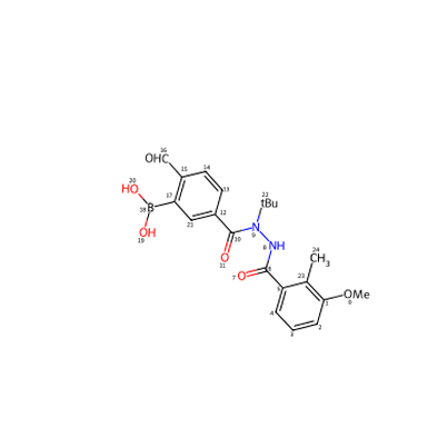 COc1cccc(C(=O)NN(C(=O)c2ccc(C=O)c(B(O)O)c2)C(C)(C)C)c1C